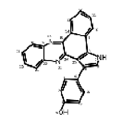 Oc1ccc(-c2c[nH]c3c4ccccc4c4nc5ccccc5nc4c23)cc1